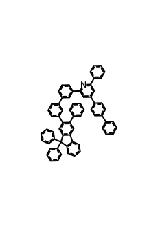 c1ccc(-c2ccc(-c3cc(-c4ccccc4)nc(-c4cccc(-c5cccc(-c6cc7c(cc6-c6ccccc6)-c6ccccc6C7(c6ccccc6)c6ccccc6)c5)c4)c3)cc2)cc1